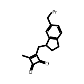 Cc1c(CC2CCc3ccc(CC(C)C)cc32)c(=O)c1=O